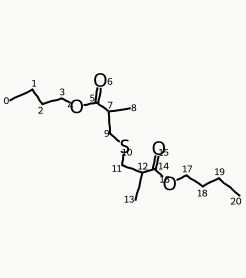 CCCCOC(=O)C(C)CSCC(C)C(=O)OCCCC